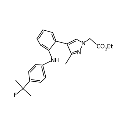 CCOC(=O)Cn1cc(-c2ccccc2Nc2ccc(C(C)(C)F)cc2)c(C)n1